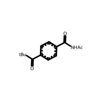 CC(=O)NC(=O)c1ccc(C(=O)C(C)(C)C)cc1